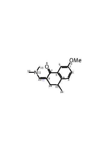 COc1ccc2c(c1)C(=O)/C(=C\N(C)C)CC2C